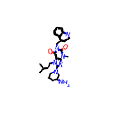 CC(C)=CCn1c(N2CCCC(N)C2)nc2c1c(=O)n(Cc1ccnc3ccccc13)c(=O)n2C